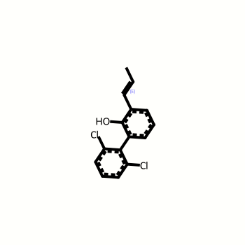 C/C=C/c1cccc(-c2c(Cl)cccc2Cl)c1O